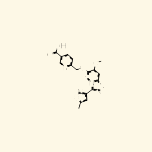 COc1cc2nnc(-c3cc(C)on3)n2nc1OCc1ccc(C(=O)O)cn1